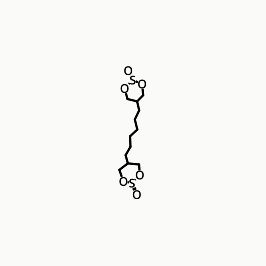 O=S1OCC(CCCCCCC2COS(=O)OC2)CO1